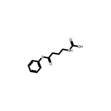 O=C(O)NCCCC(=O)Sc1ccccc1